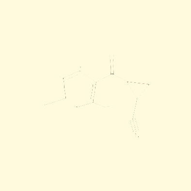 N#CC1CC1C(=O)c1ccc(Cl)cc1F